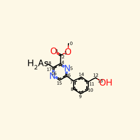 COC(=O)c1nc(-c2cccc(CO)c2)cnc1[AsH2]